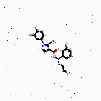 C=CCC[C@H](NC(=O)c1cnn(-c2ccc(Cl)c(Cl)c2)c1C)c1cccc(Br)c1